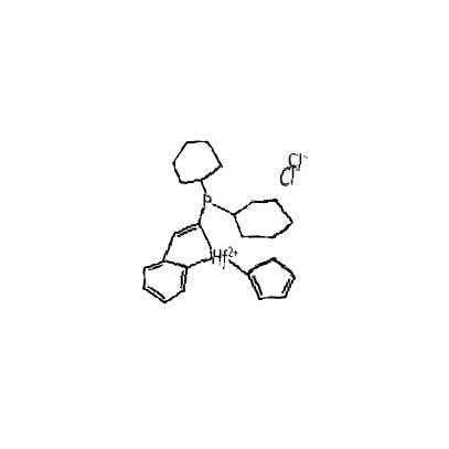 C1=CC[C]([Hf+2][CH]2C(P(C3CCCCC3)C3CCCCC3)=Cc3ccccc32)=C1.[Cl-].[Cl-]